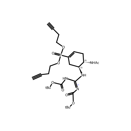 C#CCCOP(=O)(OCCC#C)C1=CC[C@H](NC(C)=O)[C@@H](N/C(=N/C(=O)OC(C)(C)C)NC(=O)OC(C)(C)C)C1